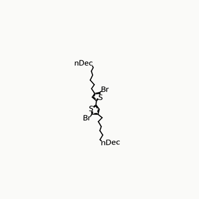 CCCCCCCCCCCCCCCCc1cc(-c2cc(CCCCCCCCCCCCCCCC)c(Br)s2)sc1Br